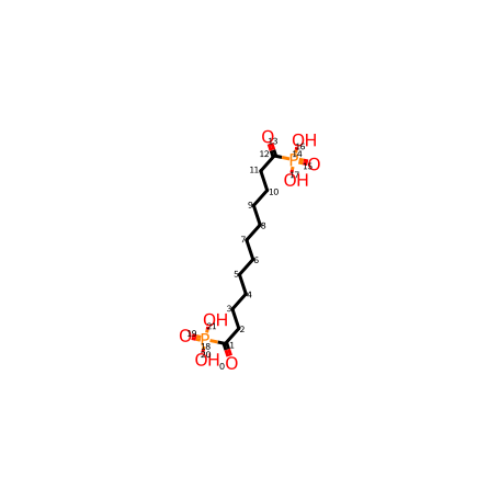 O=C(CCCCCCCCCCC(=O)P(=O)(O)O)P(=O)(O)O